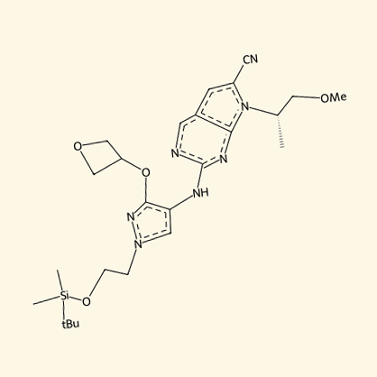 COC[C@H](C)n1c(C#N)cc2cnc(Nc3cn(CCO[Si](C)(C)C(C)(C)C)nc3OC3COC3)nc21